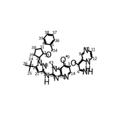 COc1c(O/C(C=N)=C2\C=NC=CN2)cnc2nc(Nc3cc(C(C)(C)C)n([C@H]4CCC[C@H]4OCc4ccccc4)n3)n(C)c12